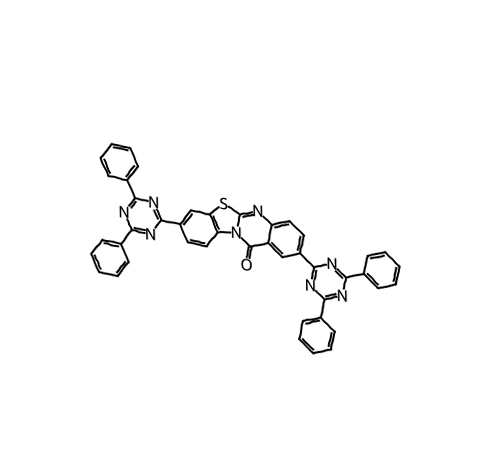 O=c1c2cc(-c3nc(-c4ccccc4)nc(-c4ccccc4)n3)ccc2nc2sc3cc(-c4nc(-c5ccccc5)nc(-c5ccccc5)n4)ccc3n12